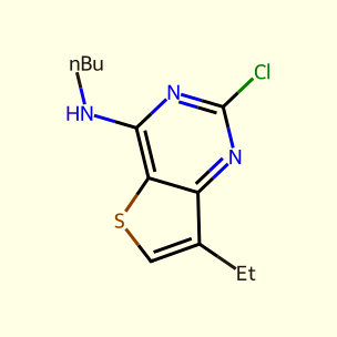 CCCCNc1nc(Cl)nc2c(CC)csc12